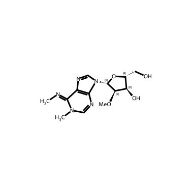 CN=c1c2ncn([C@@H]3O[C@H](CO)[C@@H](O)[C@H]3OC)c2ncn1C